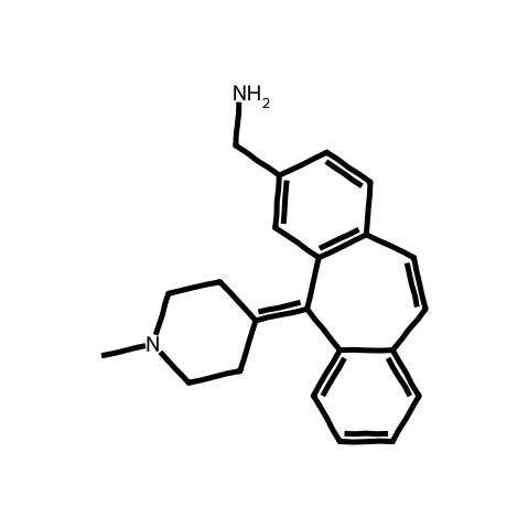 CN1CCC(=C2c3ccccc3C=Cc3ccc(CN)cc32)CC1